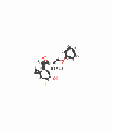 CO[C@@H]1[C@H](O)[C@@H](F)CC2(CC2)[C@H]1[C@@]1(C)O[C@@H]1CCOc1ccccc1